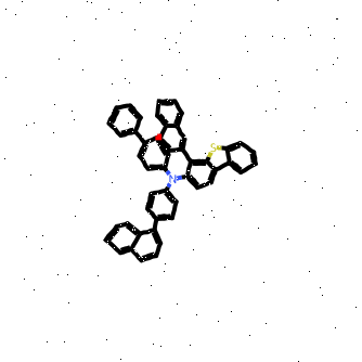 c1ccc(-c2ccc(N(c3ccc(-c4cccc5ccccc45)cc3)c3ccc4c(sc5ccccc54)c3-c3ccc4ccccc4c3)cc2)cc1